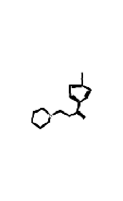 C=C(CCN1CCCCC1)c1ccc(C)cc1